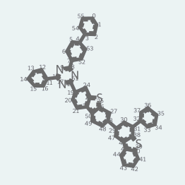 c1ccc(-c2ccc(-c3nc(-c4ccccc4)nc(-c4ccc5c(c4)sc4cc(-c6cc(-c7ccccc7)c7sc8ccccc8c7c6)ccc45)n3)cc2)cc1